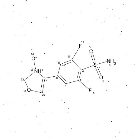 NS(=O)(=O)c1c(F)cc(C2=COC[NH+]2[O-])cc1F